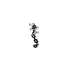 Nc1cc(Cl)c(OC[C@@H](O)CN2CCC(c3ccc(Oc4ccccc4)cc3)CC2)c(Cl)c1